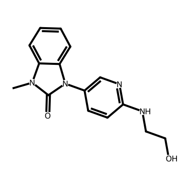 Cn1c(=O)n(-c2ccc(NCCO)nc2)c2ccccc21